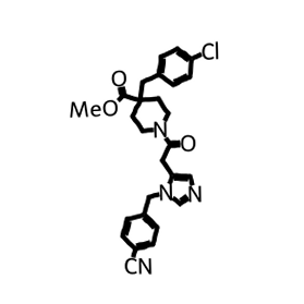 COC(=O)C1(Cc2ccc(Cl)cc2)CCN(C(=O)Cc2cncn2Cc2ccc(C#N)cc2)CC1